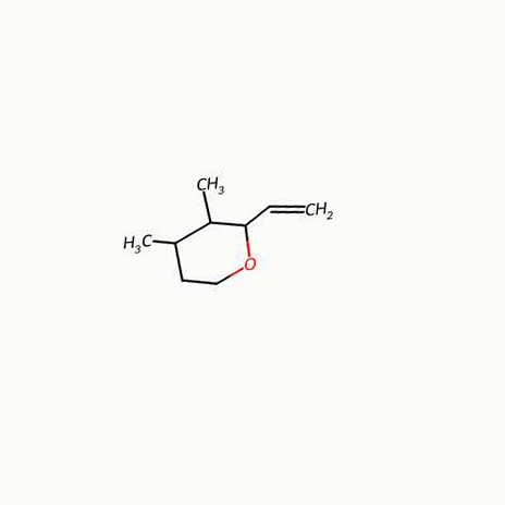 C=CC1OCCC(C)C1C